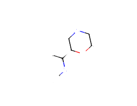 CC(C)(C)C(NC(=O)O)[C@H]1CNCCO1